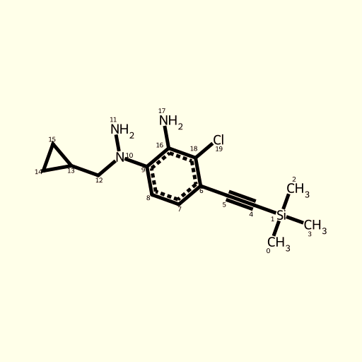 C[Si](C)(C)C#Cc1ccc(N(N)CC2CC2)c(N)c1Cl